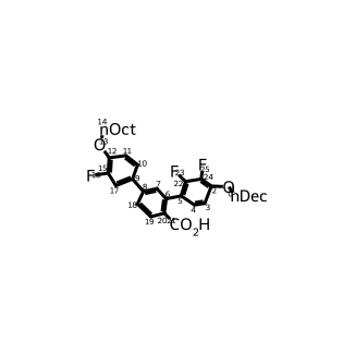 CCCCCCCCCCOc1ccc(-c2cc(-c3ccc(OCCCCCCCC)c(F)c3)ccc2C(=O)O)c(F)c1F